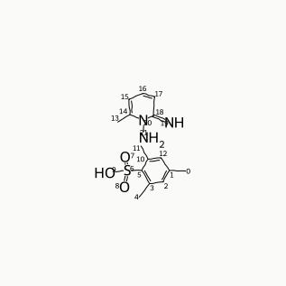 Cc1cc(C)c(S(=O)(=O)O)c(C)c1.Cc1cccc(=N)n1N